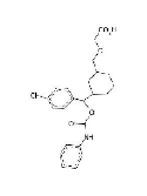 O=C(O)COCC1CCCC(C(OC(=O)Nc2ccccc2)c2ccc(Cl)cc2)C1